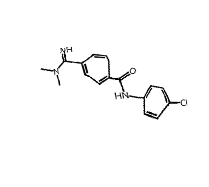 CN(C)C(=N)c1ccc(C(=O)Nc2ccc(Cl)cc2)cc1